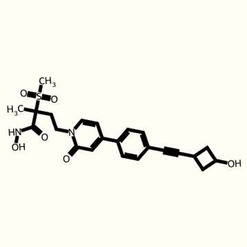 CC(CCn1ccc(-c2ccc(C#CC3CC(O)C3)cc2)cc1=O)(C(=O)NO)S(C)(=O)=O